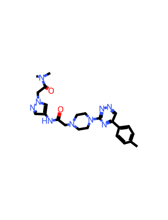 Cc1ccc(-c2cnnc(N3CCN(CC(=O)Nc4cnn(CC(=O)N(C)C)c4)CC3)n2)cc1